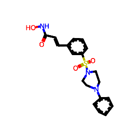 O=C(/C=C/c1cccc(S(=O)(=O)N2CCN(c3ccccc3)CC2)c1)NO